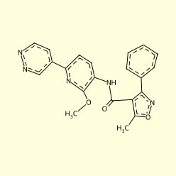 COc1nc(-c2ccnnc2)ccc1NC(=O)c1c(-c2ccccc2)noc1C